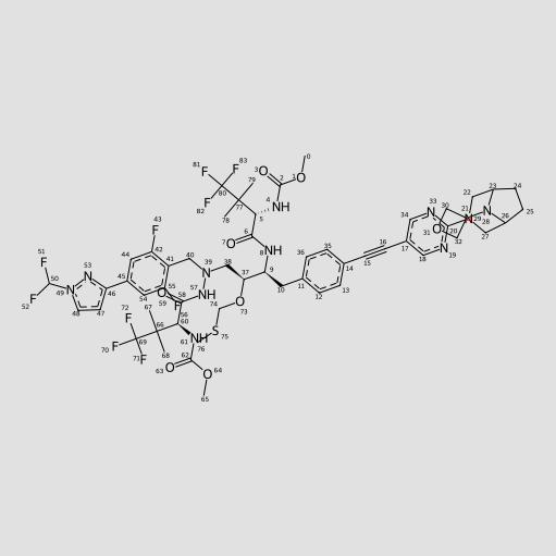 COC(=O)N[C@H](C(=O)N[C@@H](Cc1ccc(C#Cc2cnc(N3CC4CCC(C3)N4C3COC3)nc2)cc1)[C@H](CN(Cc1c(F)cc(-c2ccn(C(F)F)n2)cc1F)NC(=O)[C@@H](NC(=O)OC)C(C)(C)C(F)(F)F)OCSC)C(C)(C)C(F)(F)F